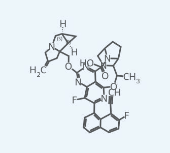 C#Cc1c(F)ccc2cccc(-c3nc4c5c(nc(OCC67CC(=C)CN6C[C@H]6C[C@H]67)nc5c3F)N3CC5CCC(C3C(C)O4)N5C(=O)O)c12